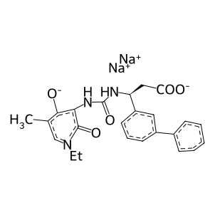 CCn1cc(C)c([O-])c(NC(=O)N[C@@H](CC(=O)[O-])c2cccc(-c3ccccc3)c2)c1=O.[Na+].[Na+]